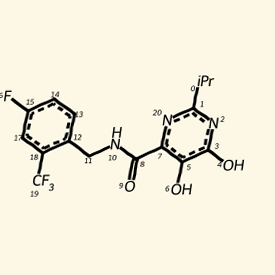 CC(C)c1nc(O)c(O)c(C(=O)NCc2ccc(F)cc2C(F)(F)F)n1